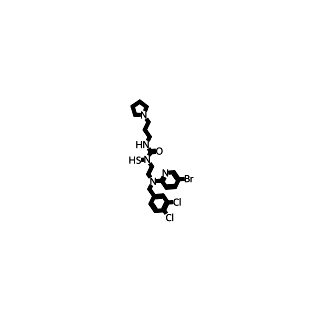 O=C(NCCCN1CCCC1)N(S)CCN(Cc1ccc(Cl)c(Cl)c1)c1ccc(Br)cn1